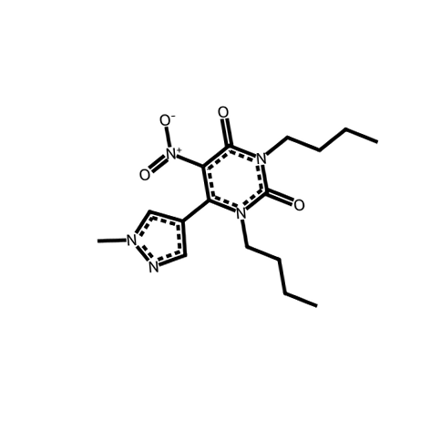 CCCCn1c(-c2cnn(C)c2)c([N+](=O)[O-])c(=O)n(CCCC)c1=O